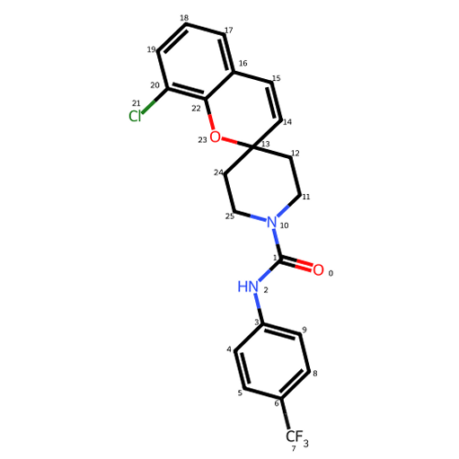 O=C(Nc1ccc(C(F)(F)F)cc1)N1CCC2(C=Cc3cccc(Cl)c3O2)CC1